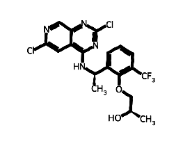 C[C@@H](O)COc1c([C@@H](C)Nc2nc(Cl)nc3cnc(Cl)cc23)cccc1C(F)(F)F